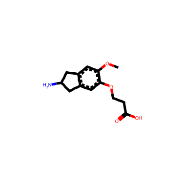 COc1cc2c(cc1OCCC(=O)O)CC(N)C2